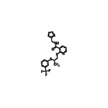 CC(CSc1ncccc1C(=O)NCc1cccs1)Sc1cccc(C(F)(F)F)c1